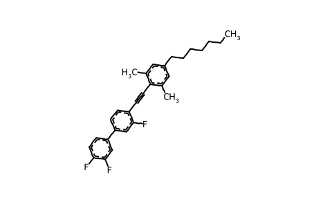 CCCCCCCc1cc(C)c(C#Cc2ccc(-c3ccc(F)c(F)c3)cc2F)c(C)c1